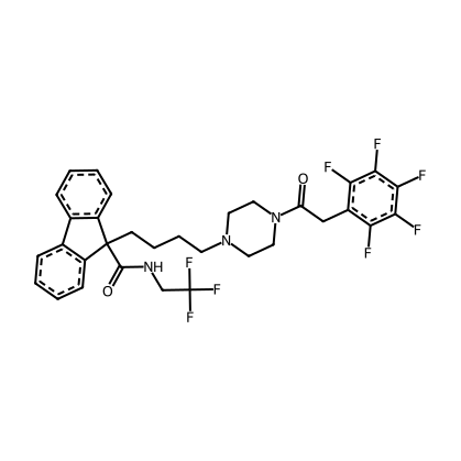 O=C(Cc1c(F)c(F)c(F)c(F)c1F)N1CCN(CCCCC2(C(=O)NCC(F)(F)F)c3ccccc3-c3ccccc32)CC1